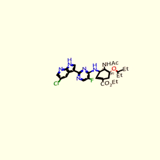 CCOC(=O)C1=CC(Nc2nc(-c3c[nH]c4ncc(Cl)cc34)ncc2F)[C@@H](NC(C)=O)[C@H](OC(CC)CC)C1